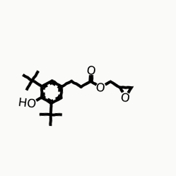 CC(C)(C)c1cc(CCC(=O)OCC2CO2)cc(C(C)(C)C)c1O